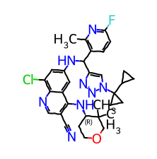 Cc1nc(F)ccc1C(Nc1cc(Cl)c2ncc(C#N)c(N[C@@H]3CCOCC3(C)C)c2c1)c1cn(C2(C3CC3)CC2)nn1